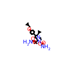 CC(C)(C)C1c2c(OC(N)=O)c(-c3ccc(OCC4CC4)cc3)c(C3CC3)n2CCN1OC(N)=O